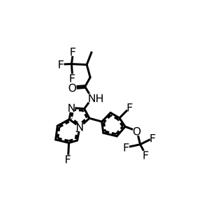 CC(CC(=O)Nc1nc2ccc(F)cn2c1-c1ccc(OC(F)(F)F)c(F)c1)C(F)(F)F